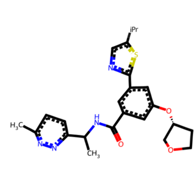 Cc1ccc(C(C)NC(=O)c2cc(O[C@@H]3CCOC3)cc(-c3ncc(C(C)C)s3)c2)nn1